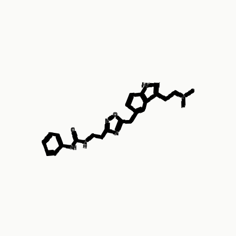 CN(C)CCc1c[nH]c2ccc(Cc3nc(CCNC(=O)Nc4ccccc4)no3)cc12